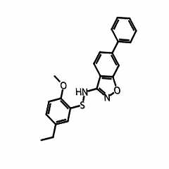 CCc1ccc(OC)c(SNc2noc3cc(-c4ccccc4)ccc23)c1